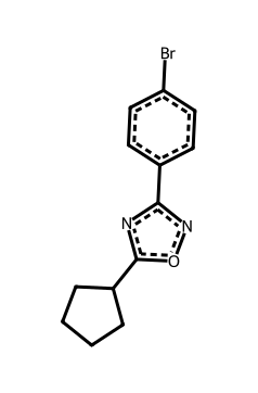 Brc1ccc(-c2noc(C3CCCC3)n2)cc1